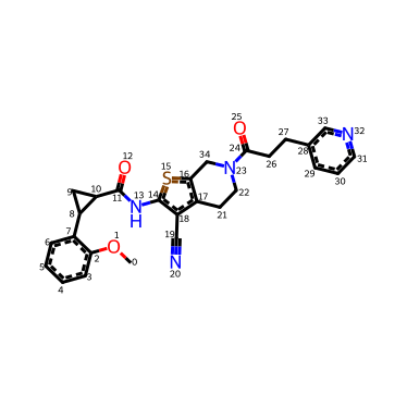 COc1ccccc1C1CC1C(=O)Nc1sc2c(c1C#N)CCN(C(=O)CCc1cccnc1)C2